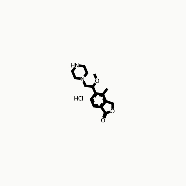 COC(CN1CCNCC1)c1ccc2c(c1C)COC2=O.Cl